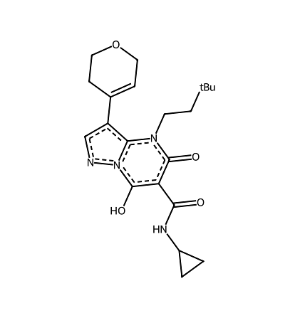 CC(C)(C)CCn1c(=O)c(C(=O)NC2CC2)c(O)n2ncc(C3=CCOCC3)c12